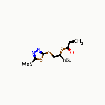 C=CC(=O)SC(CCCC)CSc1nnc(SC)s1